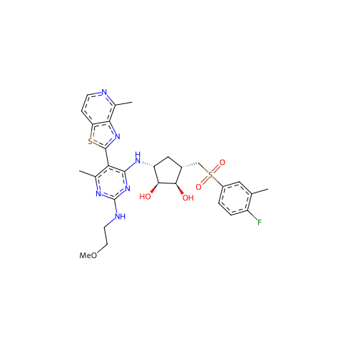 COCCNc1nc(C)c(-c2nc3c(C)nccc3s2)c(N[C@@H]2C[C@H](CS(=O)(=O)c3ccc(F)c(C)c3)[C@@H](O)[C@H]2O)n1